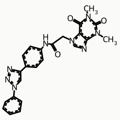 Cn1c(=O)c2c(ncn2CC(=O)Nc2ccc(-c3cn(-c4ccccc4)nn3)cc2)n(C)c1=O